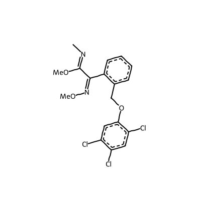 CN=C(OC)C(=NOC)c1ccccc1COc1cc(Cl)c(Cl)cc1Cl